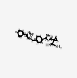 N=C(N)C1(c2nc(-c3ccc(Cn4cc(-c5ccccc5)nn4)cc3)no2)CC1